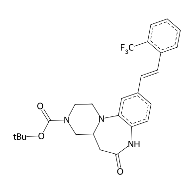 CC(C)(C)OC(=O)N1CCN2c3cc(C=Cc4ccccc4C(F)(F)F)ccc3NC(=O)CC2C1